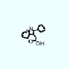 O=C(O)Cc1c(-c2ccccc2)nn2ccccc12